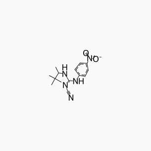 CC(N/C(=N/C#N)Nc1ccc([N+](=O)[O-])cc1)C(C)(C)C